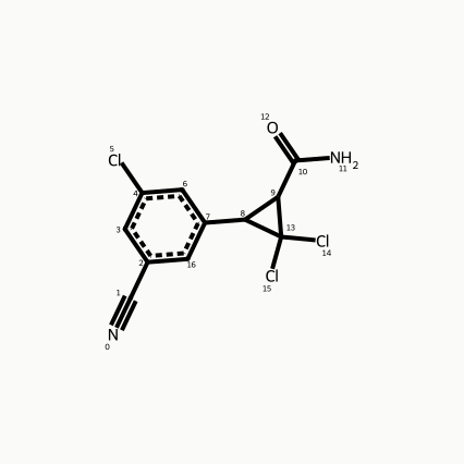 N#Cc1cc(Cl)cc(C2C(C(N)=O)C2(Cl)Cl)c1